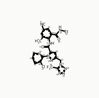 [C-]#[N+]c1cc(C)c(NC(=O)c2cc(Cn3nnnc3C(F)(F)F)nn2-c2ncccc2Cl)c(C(=O)NCC)c1